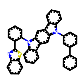 c1ccc(-c2cccc(-n3c4ccccc4c4cc5c(cc43)c3ccccc3n5-c3ccccc3-c3nc4ccccc4s3)c2)cc1